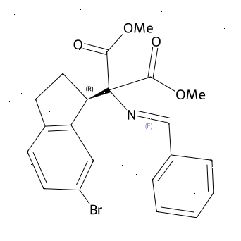 COC(=O)C(/N=C/c1ccccc1)(C(=O)OC)[C@@H]1CCc2ccc(Br)cc21